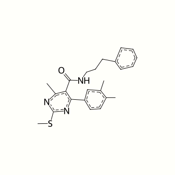 CSc1nc(C)c(C(=O)NCCCc2ccccc2)c(-c2ccc(C)c(C)c2)n1